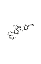 CCOC(=O)c1cccc(-c2cnc3c(c2)c(C)nn3Cc2ccc(OC)cc2)c1